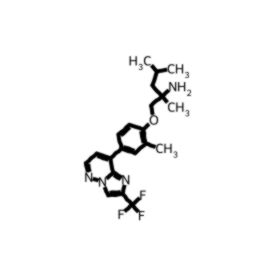 Cc1cc(-c2ccnn3cc(C(F)(F)F)nc23)ccc1OCC(C)(N)CC(C)C